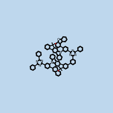 CC1(C)c2ccc(-c3cccc(-c4nc(-c5ccccc5)nc(-c5ccc(-c6cccc7oc8ccccc8c67)c(-n6c7ccccc7c7cc8c(cc76)C(C)(C)c6ccccc6-8)c5)n4)c3)cc2-c2cc3c4ccccc4n(-c4cc(-c5nc(-c6ccccc6)nc(-c6ccccc6)n5)ccc4-c4ccc5ccccc5c4)c3cc21